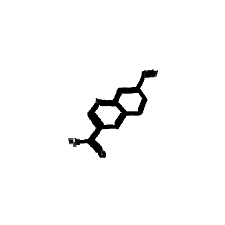 COc1ccc2cc(C(N)=O)cnc2c1